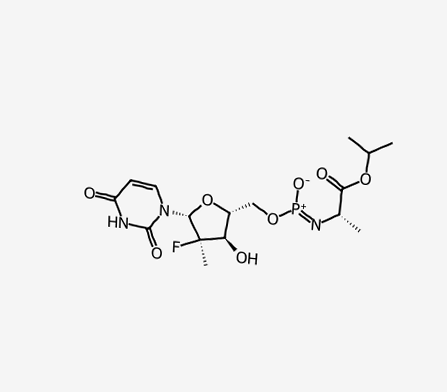 CC(C)OC(=O)[C@H](C)/N=[P+](\[O-])OC[C@H]1O[C@@H](n2ccc(=O)[nH]c2=O)[C@](C)(F)[C@@H]1O